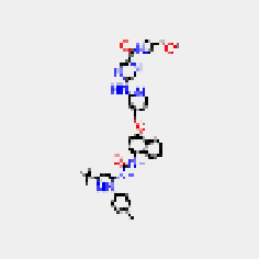 COCC1CN(C(=O)c2cnc(Nc3cc(COc4ccc(NC(=O)Nc5cc(C(C)(C)C)nn5-c5ccc(C)cc5)c5ccccc45)ccn3)cn2)C1